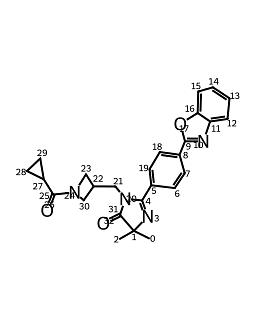 CC1(C)N=C(c2ccc(-c3nc4ccccc4o3)cc2)N(CC2CN(C(=O)C3CC3)C2)C1=O